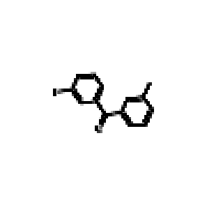 Cc1cccc(C(=O)c2cccc(F)c2)c1